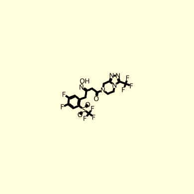 O=C(C/C(Cc1cc(F)c(F)cc1S(=O)(=O)C(F)(F)F)=N\O)N1CCn2c(nnc2C(F)(F)F)C1